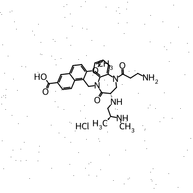 CN[C@@H](C)CN[C@H]1CN(C(=O)CCN)c2ccccc2N(Cc2c(OC)ccc3cc(C(=O)O)ccc23)C1=O.Cl